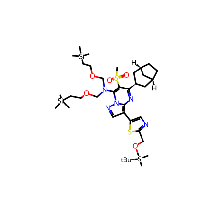 CC(C)(C)[Si](C)(C)OCc1ncc(-c2cnn3c(N(COCC[Si](C)(C)C)COCC[Si](C)(C)C)c(S(C)(=O)=O)c([C@H]4C[C@@H]5CC[C@@H](C5)C4)nc23)s1